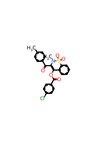 Cc1ccc(C(=O)C2=C(OC(=O)c3ccc(Cl)cc3)c3ccccc3S(=O)(=O)N2C)cc1